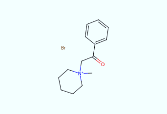 C[N+]1(CC(=O)c2ccccc2)CCCCC1.[Br-]